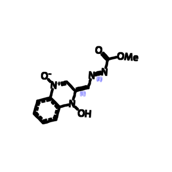 COC(=O)/N=N/C=C1\C=[N+]([O-])c2ccccc2N1O